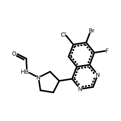 O=CBN1CCC(c2ncnc3c(F)c(Br)c(Cl)cc23)C1